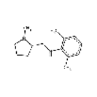 Cc1cccc(C)c1NC[C@@H]1CCCN1C